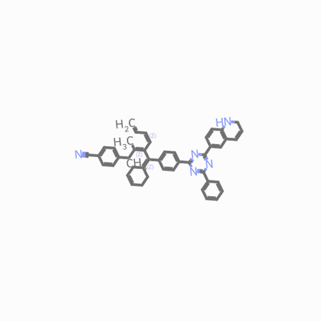 C=C\C=C/C(C(=C1\CC=CCC1)/c1ccc(-c2nc(-c3ccccc3)nc(-c3ccc4c(c3)C=CCN4)n2)cc1)=C(\C)C(C)c1ccc(C#N)cc1